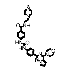 CN1CCN(CCNC(=O)c2ccc(NC(=O)Nc3ccc(-c4nc(N5CCOCC5)c5cccn5n4)cc3)cc2)CC1